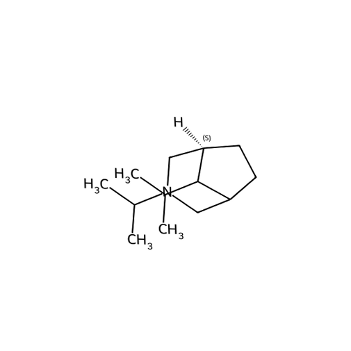 CC(C)C1C2CC[C@@H]1CN(C(C)C)C2